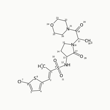 C/C(=C\c1ccc(Cl)s1)S(=O)(=O)NC1CCN(C(C)C(=O)N2CCOCC2)C1=O